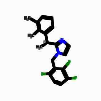 Cc1cccc([C@H](C)c2nccn2Cc2c(F)ccc(F)c2F)c1C